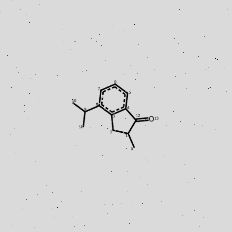 CC1Cc2c(cccc2C(C)C)C1=O